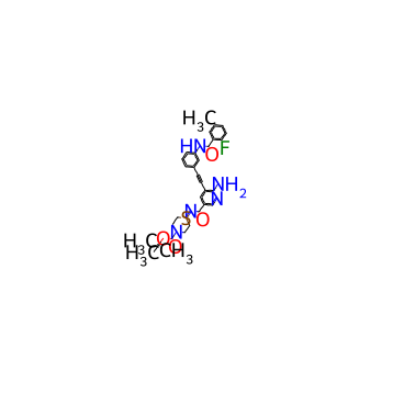 Cc1ccc(F)c(C(=O)Nc2cccc(C#Cc3cc(C(=O)N=S4CCN(C(=O)OC(C)(C)C)CC4)cnc3N)c2)c1